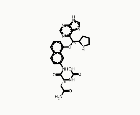 NC(=O)C[C@@H](NC(=O)O)C(=O)Nc1ccc2cccc(O[C@@H](c3ncnc4[nH]cnc34)C3CCCN3)c2c1